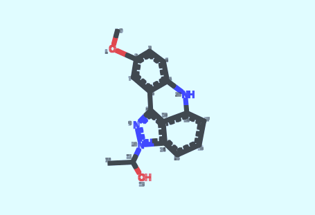 COc1ccc2c(c1)-c1nn(C(C)O)c3cccc(c13)N2